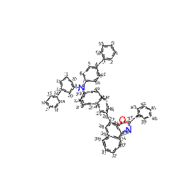 c1ccc(-c2ccc(N(c3cccc(-c4ccccc4)c3)c3ccc4cc(-c5cc6ccccc6c6nc(-c7ccccc7)oc56)ccc4c3)cc2)cc1